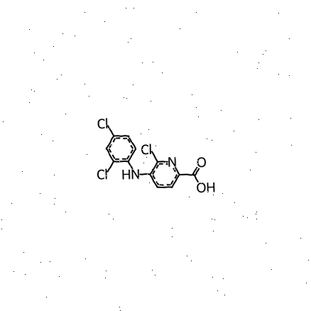 O=C(O)c1ccc(Nc2ccc(Cl)cc2Cl)c(Cl)n1